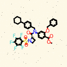 COC(=O)c1ccc(N(Cc2ccc(C3CCCCC3)cc2)C(=O)[C@H]2CCN2S(=O)(=O)c2c(F)c(F)c(F)c(F)c2F)cc1OCc1ccccc1